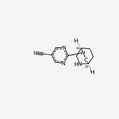 N#Cc1cnc(N2C[C@H]3CC[C@@H]2CN3)nc1